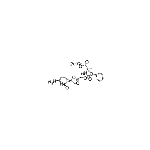 CCC[C@@H](C)OC(=O)[C@H](C)NP(=O)(OC[C@H]1OC[C@@H](n2ccc(N)nc2=O)O1)Oc1ccccc1